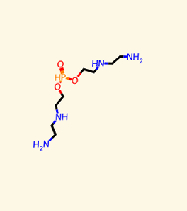 NCCNCCO[PH](=O)OCCNCCN